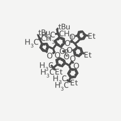 CCc1ccc2c(c1)C(c1cc(CC)ccc1OP(Oc1ccc(C(C)(C)CC)cc1C1C(=O)Oc3ccc(C(C)(C)CC)cc31)Oc1ccc(C(C)(C)CC(C)(C)C)cc1C1C(=O)Oc3ccc(C(C)(C)CC(C)(C)C)cc31)C(=O)O2